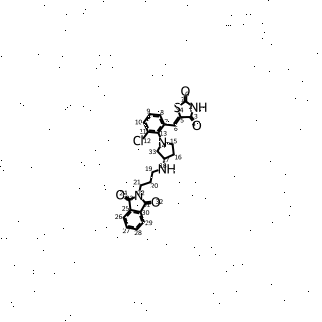 O=C1NC(=O)/C(=C/c2cccc(Cl)c2N2CC[C@H](NCCCN3C(=O)c4ccccc4C3=O)C2)S1